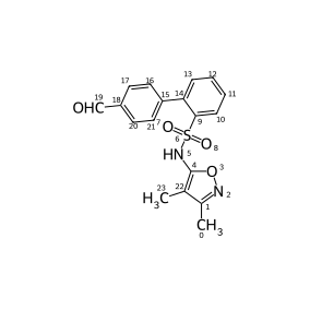 Cc1noc(NS(=O)(=O)c2ccccc2-c2ccc(C=O)cc2)c1C